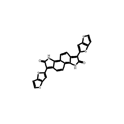 O=C1Nc2c(ccc3c4c(ccc23)=C(c2cc3sccc3s2)C(=O)N4)=C1c1cc2sccc2s1